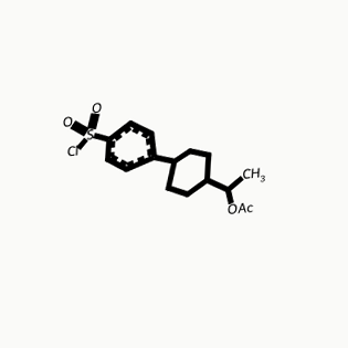 CC(=O)OC(C)C1CCC(c2ccc(S(=O)(=O)Cl)cc2)CC1